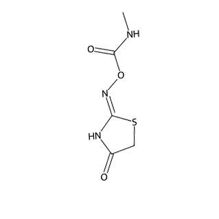 CNC(=O)ON=C1NC(=O)CS1